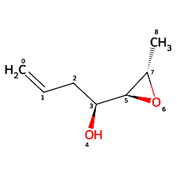 C=CC[C@H](O)[C@@H]1O[C@H]1C